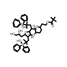 CC(C)(C)C(=O)OCCC1CCC2O[C@H]3C(CC(C)(C)[Si](O)(c4ccccc4)c4ccccc4)C(C[C@@H](O)CO)OC3C(CC(C)(C)[Si](O)(c3ccccc3)c3ccccc3)[C@H]2O1